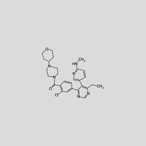 CCc1ncnc(-c2ccc(C(=O)N3CCN(C4CCOCC4)CC3)c(Cl)c2)c1-c1ccc(NC)nc1